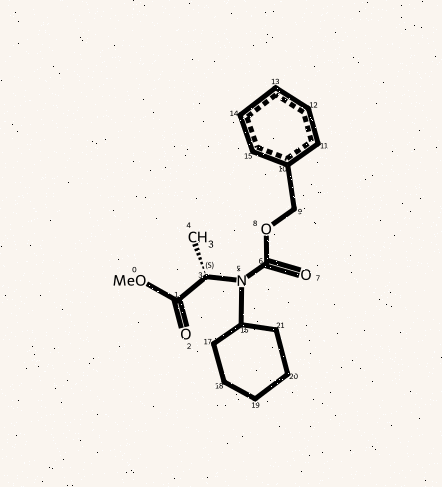 COC(=O)[C@H](C)N(C(=O)OCc1ccccc1)C1CCCCC1